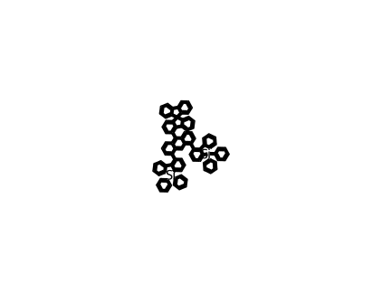 c1ccc([Si]2(c3ccccc3)c3ccccc3-c3c(-c4cccc5c(-c6cccc7c6-c6ccccc6C76c7ccccc7-c7ccccc76)c6cccc(-c7cccc8c7-c7ccccc7[Si]8(c7ccccc7)c7ccccc7)c6cc45)cccc32)cc1